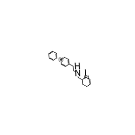 I[C@@H]1C=CCCC1CNCCC1=CC[C@@H](c2ccccc2)C=C1